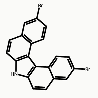 Brc1ccc2c(ccc3[nH]c4ccc5cc(Br)ccc5c4c32)c1